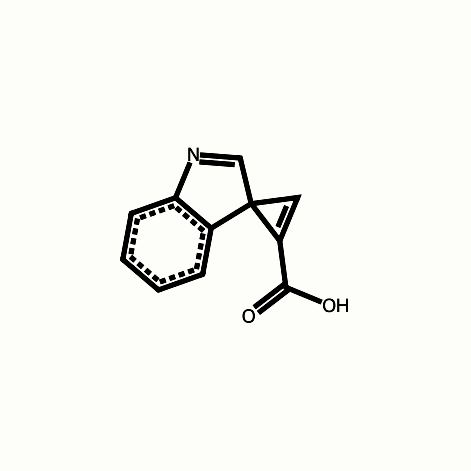 O=C(O)C1=CC12C=Nc1ccccc12